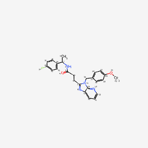 CC(NC(=O)CCc1nc2cccnc2n1Cc1ccc(OC(F)(F)F)cc1)c1ccc(F)cc1